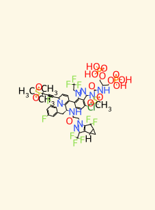 CC(C)(C#Cc1ccc(-c2ccc(Cl)c3c(N(C(=O)NC(COP(=O)(O)O)COP(=O)(O)O)S(C)(=O)=O)nn(CC(F)(F)F)c23)c([C@H](Cc2cc(F)cc(F)c2)NC(=O)Cn2nc(C(F)(F)F)c3c2C(F)(F)C2C[C@H]32)n1)S(C)(=O)=O